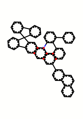 c1ccc(-c2ccccc2-c2c(-c3ccccc3)cccc2N(c2ccc(-c3ccc4c(ccc5ccccc54)c3)cc2)c2ccc3c(c2)C2(c4ccccc4-c4ccccc42)c2ccccc2-3)cc1